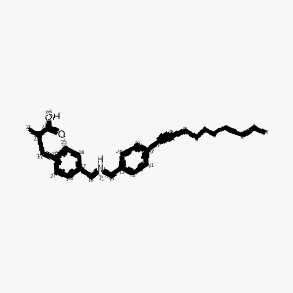 CCCCCCCCC#Cc1ccc(CNCc2ccc(CC(C)C(=O)O)cc2)cc1